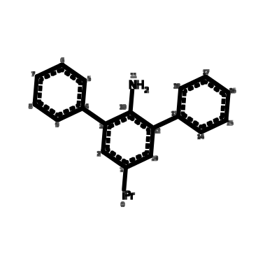 CC(C)c1cc(-c2ccccc2)c(N)c(-c2ccccc2)c1